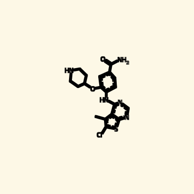 Cc1c(Cl)sc2ncnc(Nc3ccc(C(N)=O)cc3OC3CCNCC3)c12